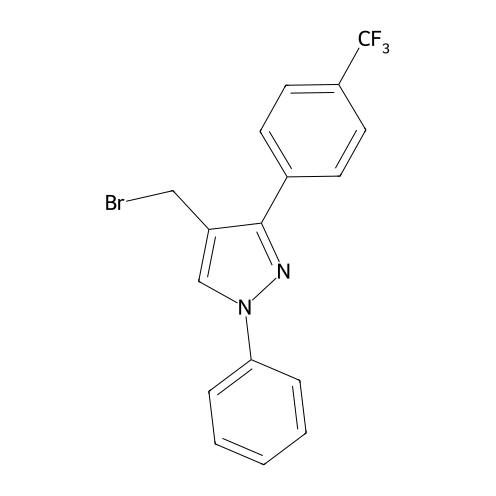 FC(F)(F)c1ccc(-c2nn(-c3ccccc3)cc2CBr)cc1